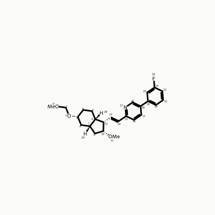 COCO[C@@H]1CC[C@H]2[C@@H](C1)C[C@@H](OC)[C@H]2C=Cc1ccc(-c2cccc(F)c2)cn1